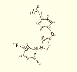 Cc1ccc(OC2CCN(c3cc(F)ccc3F)C2)cc1